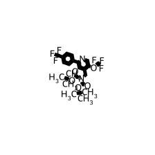 CC(C)(C)OC(=O)N(Cc1cc(-c2ccc(C(F)(F)F)cc2)ncc1OC(F)(F)F)C(=O)OC(C)(C)C